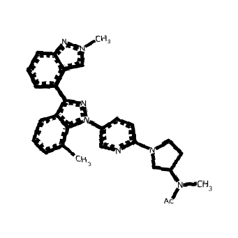 CC(=O)N(C)C1CCN(c2ccc(-n3nc(-c4cccc5nn(C)cc45)c4cccc(C)c43)cn2)C1